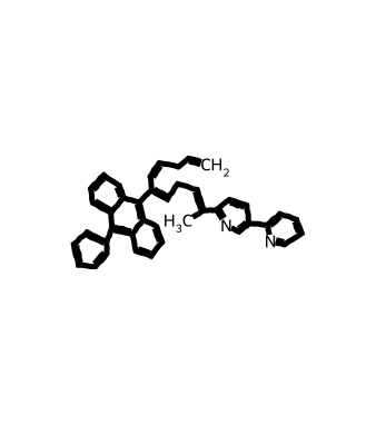 C=CC/C=C\C(=C/C/C=C(\C)c1ccc(-c2ccccn2)cn1)c1c2ccccc2c(-c2ccccc2)c2ccccc12